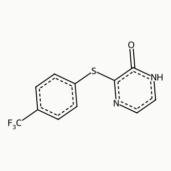 O=c1[nH]ccnc1Sc1ccc(C(F)(F)F)cc1